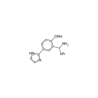 CCCC(N)c1cc(-c2ncc[nH]2)ccc1OC